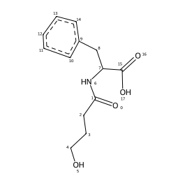 O=C(CCCO)NC(Cc1ccccc1)C(=O)O